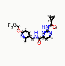 Cc1nc(OCC(F)(F)F)ccc1CNC(=O)c1ccnc(NC(=O)C2CC2)n1